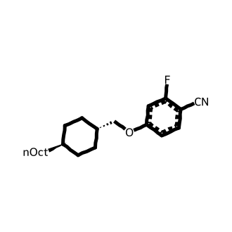 CCCCCCCC[C@H]1CC[C@H](COc2ccc(C#N)c(F)c2)CC1